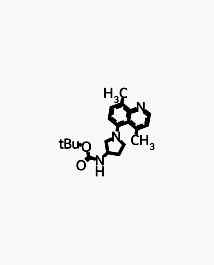 Cc1ccc(N2CCC(NC(=O)OC(C)(C)C)C2)c2c(C)ccnc12